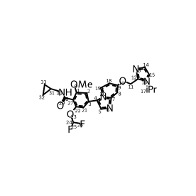 COc1cc(-c2cnc3cc(OCc4nccn4C(C)C)ccn23)cc(OC(F)F)c1C(=O)NC1CC1